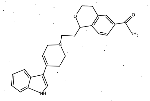 NC(=O)c1ccc2c(c1)CCOC2CCN1CC=C(c2c[nH]c3ccccc23)CC1